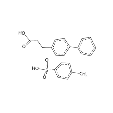 Cc1ccc(S(=O)(=O)O)cc1.O=C(O)CCc1ccc(-c2ccccc2)cc1